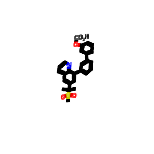 CC(C)(c1cc(-c2cccc(-c3cccc(OC(=O)O)c3)c2)c2ncccc2c1)S(C)(=O)=O